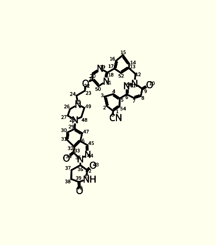 N#Cc1cccc(-c2ccc(=O)n(Cc3cccc(-c4ncc(OCCN5CCN(c6ccc7c(=O)n(C8CCC(=O)NC8=O)ncc7c6)CC5)cn4)c3)n2)c1